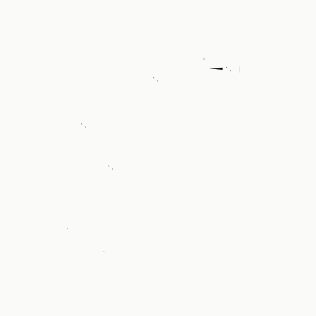 CN[C@@H]1CCN(c2ccnc(NCC3CC4CCC3C4)c2)C1